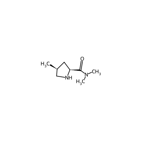 C[C@@H]1CN[C@H](C(=O)N(C)C)C1